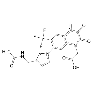 CC(=O)NCc1ccn(-c2cc3c(cc2C(F)(F)F)[nH]c(=O)c(=O)n3CC(=O)O)c1